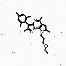 CCOCCCn1c(C)cc2c(C)nc3c(-c4c(C)cc(C)cc4C)c(C)nn3c21